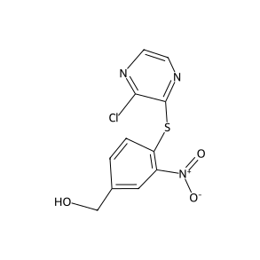 O=[N+]([O-])c1cc(CO)ccc1Sc1nccnc1Cl